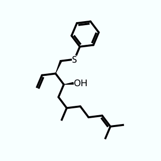 C=C[C@@H](CSc1ccccc1)[C@@H](O)CC(C)CCC=C(C)C